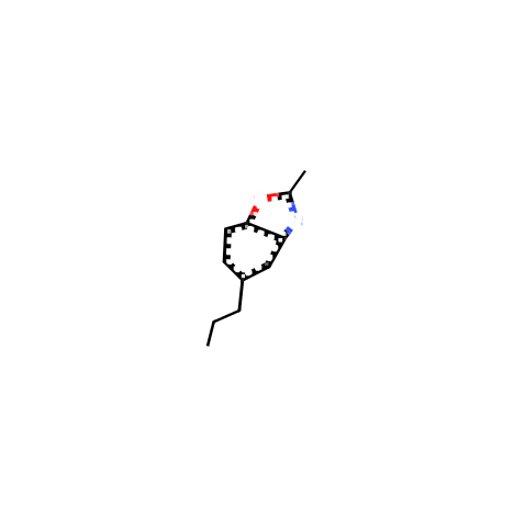 CCCc1ccc2oc(C)nc2c1